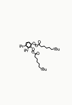 CC(C)c1ccc(OOC(=O)CCCCCC(C)(C)C)c(OOC(=O)CCCCCC(C)(C)C)c1C(C)C